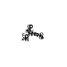 CCn1cnc2cc(-c3nc(N4C=C5CN(C(=O)OC(C)(C)C)CC5C4)nc4c3ncn4C3CCCCO3)cc(F)c21